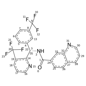 O=C(N[C@@H](c1cccc(C(F)(F)F)c1)c1ncccc1C(F)(F)F)c1ccc2cccnc2c1